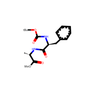 COC(=O)[C@H](C)NC(=O)[C@H](Cc1ccccc1)NC(=O)OC(C)(C)C